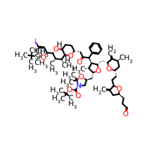 C=C1C[C@H](CCC=O)OC1CC[C@H]1C[C@@H](C)C(=C)[C@@H](C[C@@H]2O[C@H](C[C@H]3CN(C(=O)OC(C)(C)C)C(C)(C)O3)[C@H](C)[C@H]2C(C(=O)C[C@H]2CC[C@@H]3O[C@@H]([C@H](/C=C/I)O[Si](C)(C)C(C)(C)C)[C@@H](C)[C@@H](C)[C@H]3O2)c2ccccc2)O1